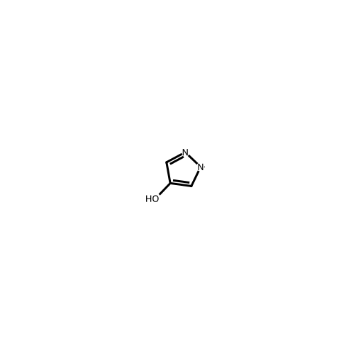 OC1=C[N]N=C1